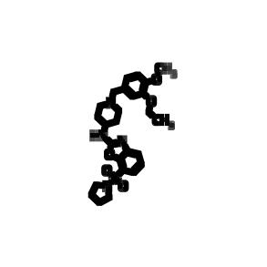 CCOc1cc(CN2CCC(Nc3nc4cccc(S(=O)(=O)N5CCCC5)c4o3)CC2)ccc1OC